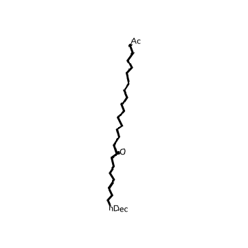 CCCCCCCCCCCCCCCCCC(=O)CCCCCCCCCCCCCCCC(C)=O